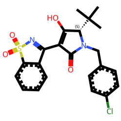 CC(C)(C)[C@H]1C(O)=C(C2=NS(=O)(=O)c3ccccc32)C(=O)N1Cc1ccc(Cl)cc1